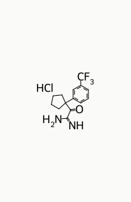 Cl.N=C(N)C(=O)C1(c2cccc(C(F)(F)F)c2)CCCC1